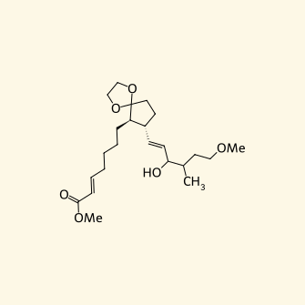 COCCC(C)C(O)/C=C/[C@H]1CCC2(OCCO2)[C@@H]1CCCC/C=C/C(=O)OC